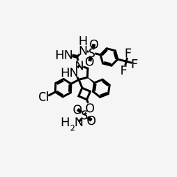 N=C(NS(=O)(=O)c1ccc(C(F)(F)F)cc1)N1C[C@@H](c2ccccc2)C(c2ccc(Cl)cc2)(C2CC(OS(N)(=O)=O)C2)N1